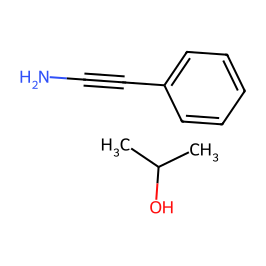 CC(C)O.NC#Cc1ccccc1